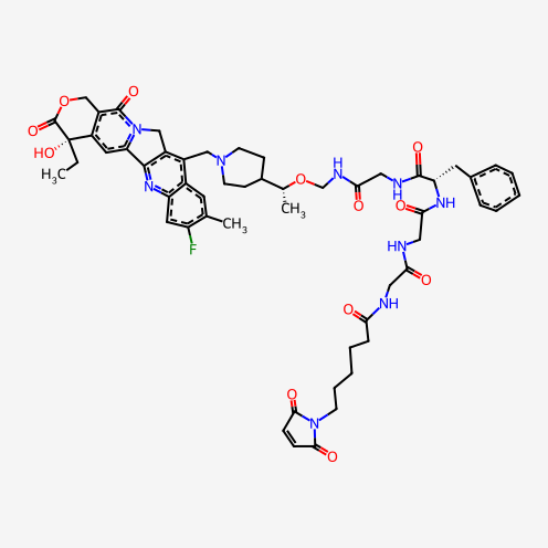 CC[C@@]1(O)C(=O)OCc2c1cc1n(c2=O)Cc2c-1nc1cc(F)c(C)cc1c2CN1CCC([C@@H](C)OCNC(=O)CNC(=O)[C@H](Cc2ccccc2)NC(=O)CNC(=O)CNC(=O)CCCCCN2C(=O)C=CC2=O)CC1